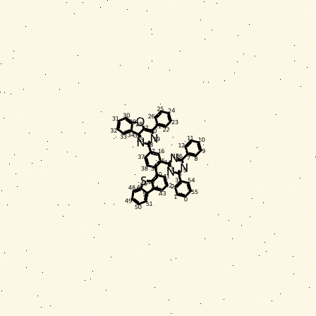 c1ccc(-c2nc(-c3ccccc3)nc(-c3cc(-c4nc(-c5ccccc5)c5oc6ccccc6c5n4)ccc3-c3cccc4c3sc3ccccc34)n2)cc1